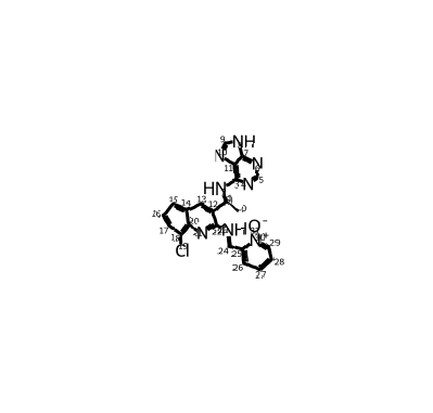 C[C@H](Nc1ncnc2[nH]cnc12)c1cc2cccc(Cl)c2nc1NCc1cccc[n+]1[O-]